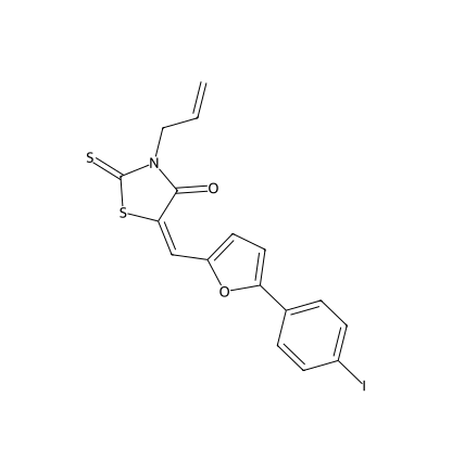 C=CCN1C(=O)/C(=C\c2ccc(-c3ccc(I)cc3)o2)SC1=S